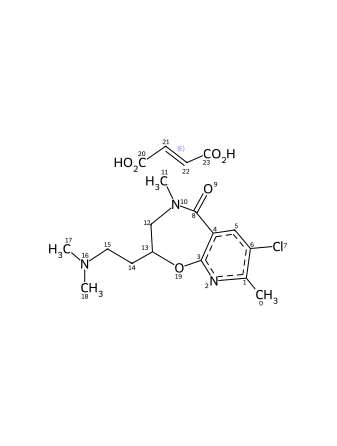 Cc1nc2c(cc1Cl)C(=O)N(C)CC(CCN(C)C)O2.O=C(O)/C=C/C(=O)O